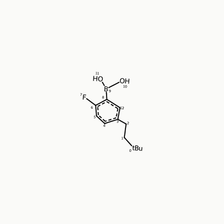 CC(C)(C)CCc1ccc(F)c(B(O)O)c1